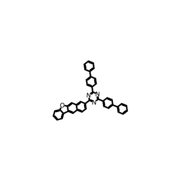 c1ccc(-c2ccc(-c3nc(-c4ccc(-c5ccccc5)cc4)nc(-c4ccc5cc6c(cc5c4)oc4ccccc46)n3)cc2)cc1